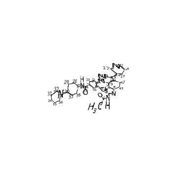 CC(=O)Nc1nc2c(s1)-c1c(c(-c3cccnc3)nn1-c1ccc(C(=O)N[C@H]3CC[C@H](N4CCCCC4)CC3)cc1Cl)CC2